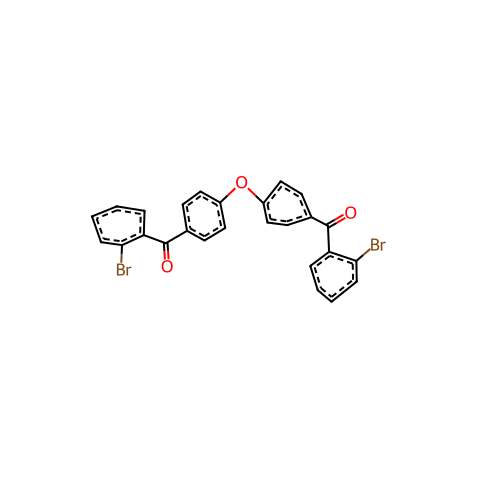 O=C(c1ccc(Oc2ccc(C(=O)c3ccccc3Br)cc2)cc1)c1ccccc1Br